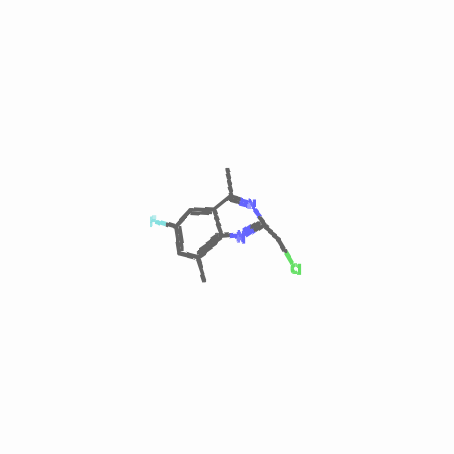 Cc1nc(CCl)nc2c(C)cc(F)cc12